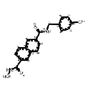 O=C(NO)c1ccc2cc(C(=O)NCc3ccc(Cl)cc3)ccc2c1